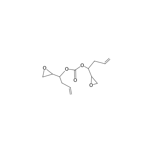 C=CCC(OC(=O)OC(CC=C)C1CO1)C1CO1